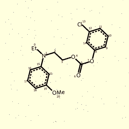 CCN(CCOC(=O)Oc1cccc(Cl)c1)c1cccc(OC)c1